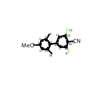 COc1cc(C)c(-c2cc(F)c(C#N)c(F)c2)c(C)c1